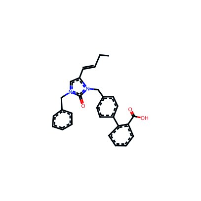 CCC=Cc1cn(Cc2ccccc2)c(=O)n1Cc1ccc(-c2ccccc2C(=O)O)cc1